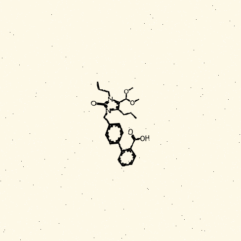 CCCc1c(C(OC)OC)n(CCC)c(=O)n1Cc1ccc(-c2ccccc2C(=O)O)cc1